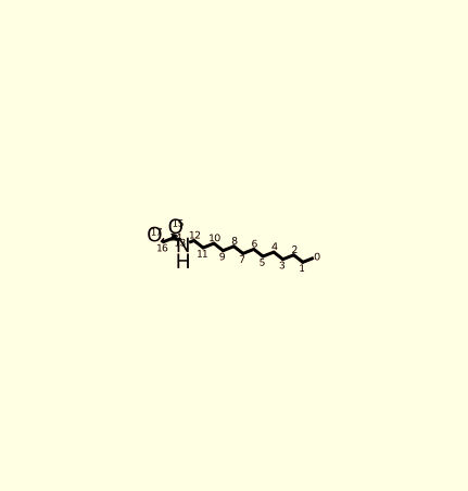 CCCCCCCCCCCCCNC(=O)C=O